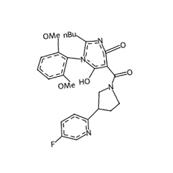 CCCCc1nc(=O)c(C(=O)N2CCC(c3ccc(F)cn3)C2)c(O)n1-c1c(OC)cccc1OC